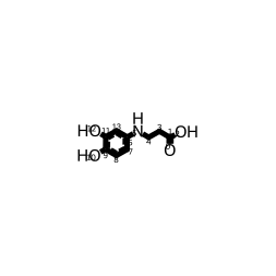 O=C(O)CCNc1ccc(O)c(O)c1